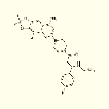 CCN[C@H](CC(=O)N1CCN(c2nc(N)c3cc4c(c(F)c3n2)OC(F)(F)O4)CC1)c1ccc(F)cc1